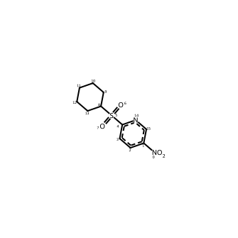 O=[N+]([O-])c1ccc(S(=O)(=O)C2CCCCC2)nc1